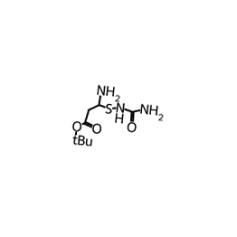 CC(C)(C)OC(=O)CC(N)SNC(N)=O